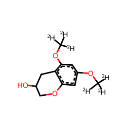 [2H]C([2H])([2H])Oc1cc2c(c(OC([2H])([2H])[2H])c1)CC(O)CO2